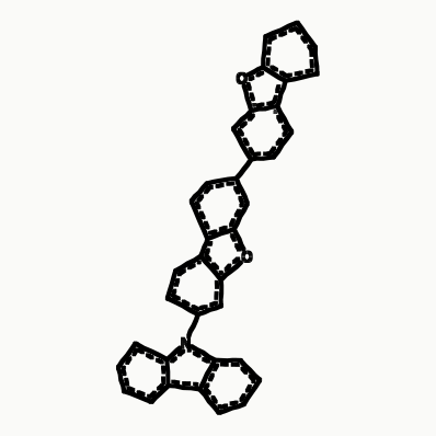 c1ccc2c(c1)oc1cc(-c3ccc4c(c3)oc3cc(-n5c6ccccc6c6ccccc65)ccc34)ccc12